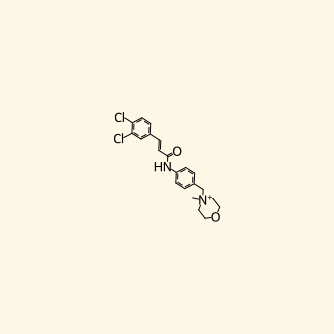 C[N+]1(Cc2ccc(NC(=O)/C=C/c3ccc(Cl)c(Cl)c3)cc2)CCOCC1